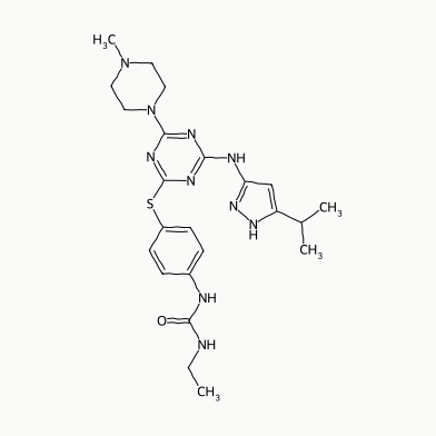 CCNC(=O)Nc1ccc(Sc2nc(Nc3cc(C(C)C)[nH]n3)nc(N3CCN(C)CC3)n2)cc1